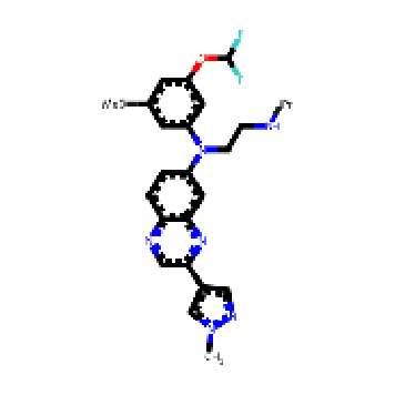 COc1cc(OC(F)F)cc(N(CCNC(C)C)c2ccc3ncc(-c4cnn(C)c4)nc3c2)c1